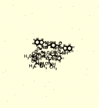 CN[C@@H](C)C(=O)N[C@H](C(=O)N1CCC[C@H]1C(=O)N[C@H]1c2ccccc2C[C@@H]1NC(=O)c1ccc(C(=O)N[C@H]2Cc3ccccc3[C@@H]2NC(=O)[C@@H]2CCCN2C(=O)[C@@H](NC(=O)[C@H](C)NC)C(C)(C)C)cc1)C(C)(C)C